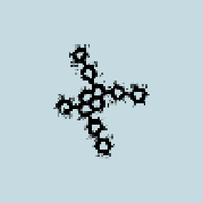 c1ccc(-c2ccc(-c3cc(-c4ccc(-c5ccccc5)cc4)c4ccc5c(-c6cccnc6)cc(-c6ccc(-c7ccccc7)cc6)c6ccc3c4c65)cc2)cc1